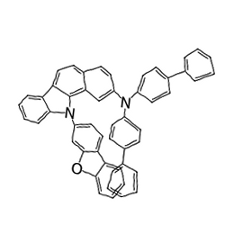 c1ccc(-c2ccc(N(c3ccc(-c4ccccc4)cc3)c3ccc4ccc5c6ccccc6n(-c6ccc7c(c6)oc6ccccc67)c5c4c3)cc2)cc1